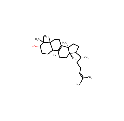 CC(C)=CCC[C@@H](C)[C@@H]1CC[C@]2(C)C3=C(CC[C@@]12C)[C@@]1(C)CC[C@H](O)C(C)(C)[C@@H]1CC3